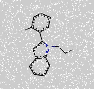 Cc1ccccc1-c1cc2ccccc2n1CCC#N